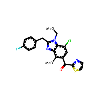 COCn1c(Cc2ccc(F)cc2)nc2c(OC)c(C(=O)c3nccs3)cc(Cl)c21